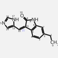 CCc1ccc2c(c1)NC(=O)/C2=C\c1cnc[nH]1